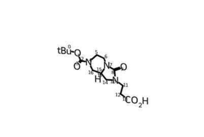 CC(C)(C)OC(=O)N1CCN2C(=O)N(CCC(=O)O)C[C@@H]2C1